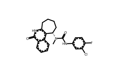 CN(C(=O)Nc1ccc(F)c(Cl)c1)[C@H]1CCCCc2[nH]c(=O)c3ccccc3c21